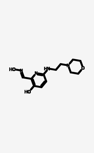 O/N=C/c1nc(NCCN2CCOCC2)ccc1O